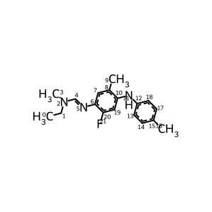 CCN(C)C=Nc1cc(C)c(Nc2ccc(C)cc2)cc1F